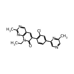 CCn1c(=O)c(-c2ccc(-c3cncc(C)n3)cc2Cl)cc2cnc(C)nc21